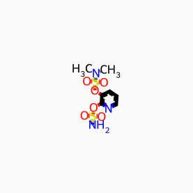 CN(C)S(=O)(=O)Oc1cccnc1OS(N)(=O)=O